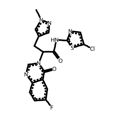 Cn1cc(CC(C(=O)Nc2ncc(Cl)s2)n2cnc3ccc(F)cc3c2=O)cn1